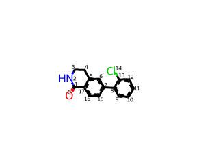 O=C1NCCc2cc(-c3ccccc3Cl)ccc21